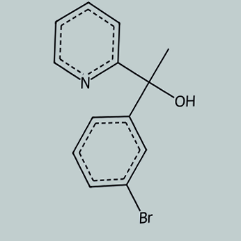 CC(O)(c1cccc(Br)c1)c1ccccn1